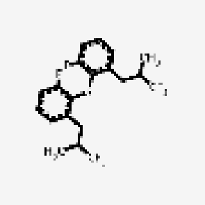 CC(Cc1cccc(F)c1Sc1c(F)cccc1CC(C)C(F)(F)F)C(F)(F)F